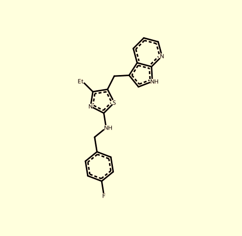 CCc1nc(NCc2ccc(F)cc2)sc1Cc1c[nH]c2ncccc12